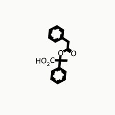 CC(OC(=O)Cc1ccccc1)(C(=O)O)c1ccccc1